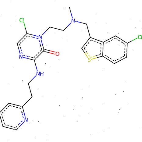 CN(CCn1c(Cl)cnc(NCCc2ccccn2)c1=O)Cc1csc2ccc(Cl)cc12